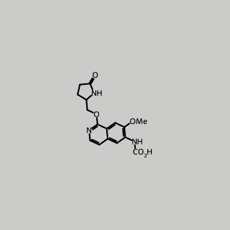 COc1cc2c(OCC3CCC(=O)N3)nccc2cc1NC(=O)O